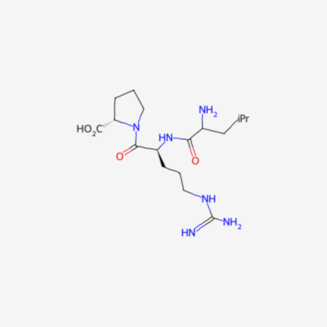 CC(C)CC(N)C(=O)N[C@@H](CCCNC(=N)N)C(=O)N1CCC[C@H]1C(=O)O